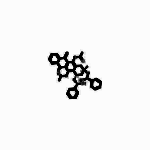 CC(=O)Oc1c2c(c(OC(C)=O)c3c1C(=O)c1ccccc1C3=O)[C@@H](OB(O)c1ccccc1)C[C@@](C)(OB(O)c1ccccc1)C2